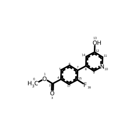 COC(=O)c1ccc(-c2cncc(O)c2)c(F)c1